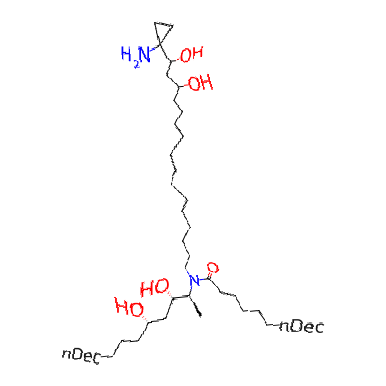 CCCCCCCCCCCCCCCC(=O)N(CCCCCCCCCCCCCC(O)CC(O)C1(N)CC1)[C@@H](C)[C@@H](O)C[C@@H](O)CCCCCCCCCCCCC